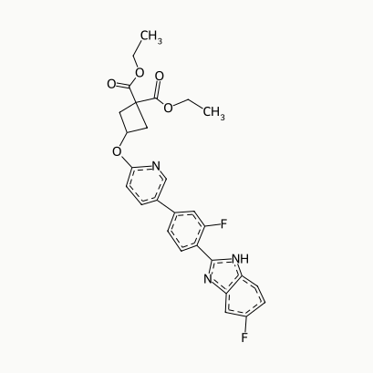 CCOC(=O)C1(C(=O)OCC)CC(Oc2ccc(-c3ccc(-c4nc5cc(F)ccc5[nH]4)c(F)c3)cn2)C1